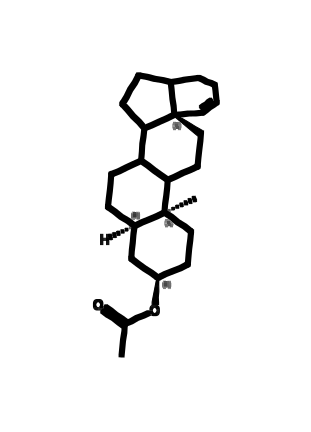 CC(=O)O[C@@H]1CC[C@]2(C)C3CC[C@]45C=CCCC4CCC5C3CC[C@@H]2C1